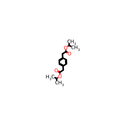 CC(C)OC(=O)Cc1ccc(CC(=O)OC(C)C)cc1